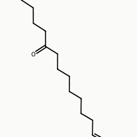 C=CCCCCCCCC(=O)CCCC